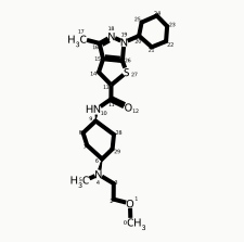 COCCN(C)[C@H]1CC[C@H](NC(=O)C2Cc3c(C)nn(C4CCCCC4)c3S2)CC1